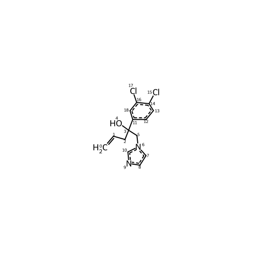 C=CCC(O)(Cn1ccnc1)c1ccc(Cl)c(Cl)c1